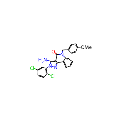 COc1ccc(Cn2c(=O)c3c(N)n(-c4cc(Cl)ccc4Cl)nc3c3ccccc32)cc1